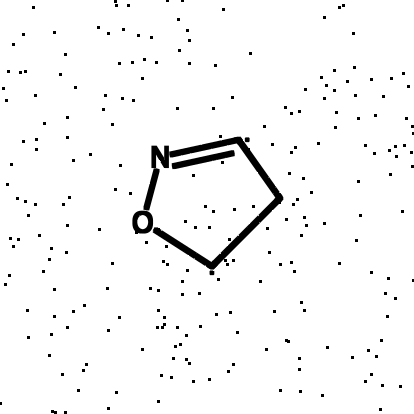 [C]1=NO[CH]C1